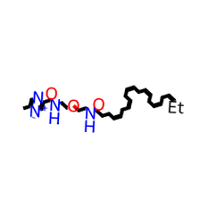 CC/C=C\C/C=C\C/C=C\C/C=C\C/C=C\C/C=C\CCC(=O)NCCOCCNC(=O)c1c[n+](C)c(C)cn1